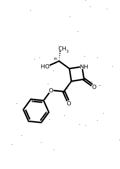 C[C@@H](O)C1NC(=O)C1C(=O)Oc1ccccc1